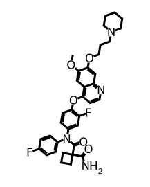 COc1cc2c(Oc3ccc(N(C(=O)C4(C(N)=O)CCC4)c4ccc(F)cc4)cc3F)ccnc2cc1OCCCN1CCCCC1